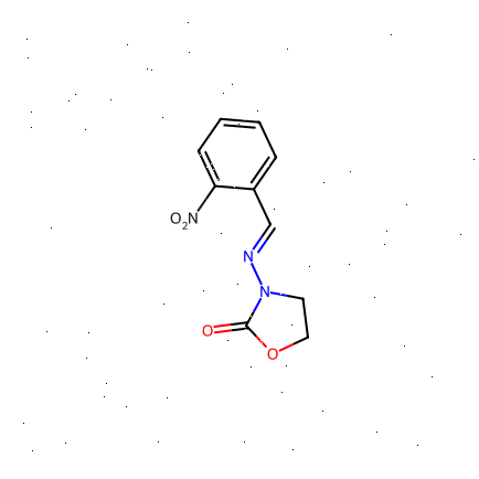 O=C1OCCN1N=Cc1ccccc1[N+](=O)[O-]